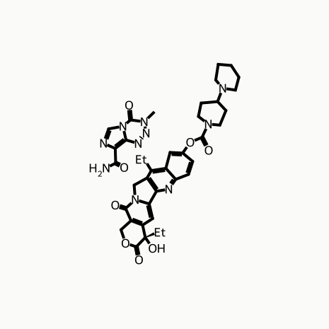 CCc1c2c(nc3ccc(OC(=O)N4CCC(N5CCCCC5)CC4)cc13)-c1cc3c(c(=O)n1C2)COC(=O)[C@]3(O)CC.Cn1nnc2c(C(N)=O)ncn2c1=O